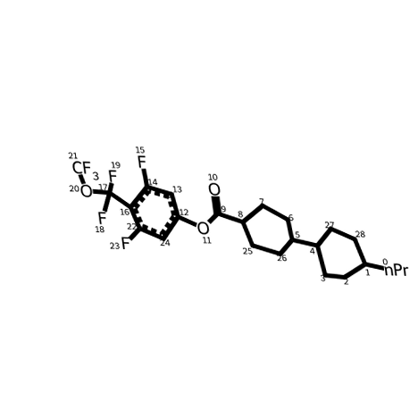 CCCC1CCC(C2CCC(C(=O)Oc3cc(F)c(C(F)(F)OC(F)(F)F)c(F)c3)CC2)CC1